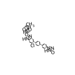 C[C@@H]1CO[C@H]2[C@@H]1OC[C@H]2Oc1nc2cc(-c3ccc(-c4ccc(-n5cnc(=O)[nH]5)cc4)cc3)c(Cl)cc2[nH]1